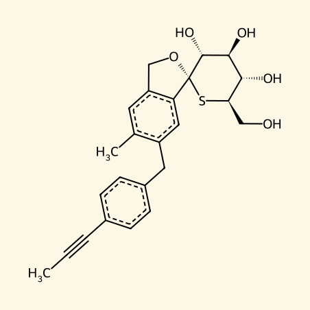 CC#Cc1ccc(Cc2cc3c(cc2C)CO[C@]32S[C@H](CO)[C@@H](O)[C@H](O)[C@H]2O)cc1